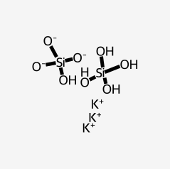 O[Si](O)(O)O.[K+].[K+].[K+].[O-][Si]([O-])([O-])O